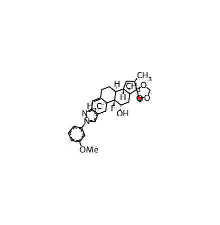 COc1cccc(-n2cc3c(n2)C=C2CC[C@H]4[C@@H]5C[C@@H](C)[C@@]6(OCOC67COCO7)[C@@]5(C)C[C@H](O)[C@]4(F)[C@@]2(C)C3)c1